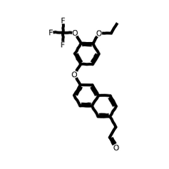 CCOc1ccc(Oc2ccc3cc(CC=O)ccc3c2)cc1OC(F)(F)F